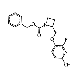 Cc1ccc(OC[C@@H]2CCN2C(=O)OCc2ccccc2)c(F)n1